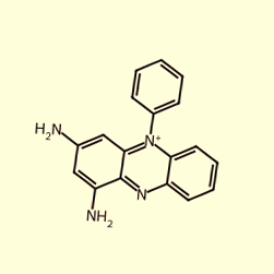 Nc1cc(N)c2nc3ccccc3[n+](-c3ccccc3)c2c1